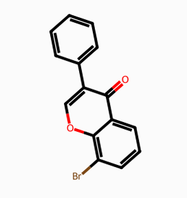 O=c1c(-c2ccccc2)coc2c(Br)cccc12